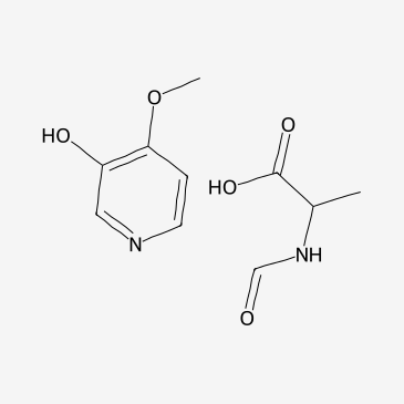 CC(NC=O)C(=O)O.COc1ccncc1O